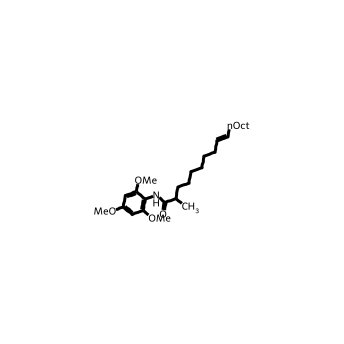 CCCCCCCCC=CCCCCCCC(C)C(=O)Nc1c(OC)cc(OC)cc1OC